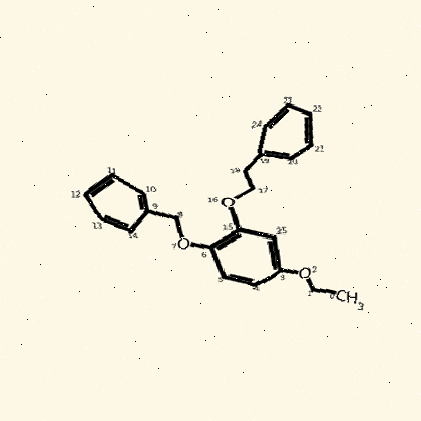 CCOc1ccc(OCc2ccccc2)c(OCCc2ccccc2)c1